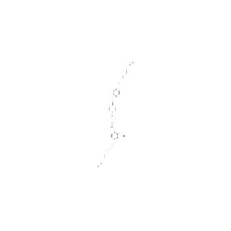 C=CC(=O)OCCCCCCOc1ccc(OCC2CCC(C3CCC(C(=O)Oc4ccc(OCCCCCCOC(=O)C=C)c5c4OC(F)(F)O5)CC3)CC2)cc1